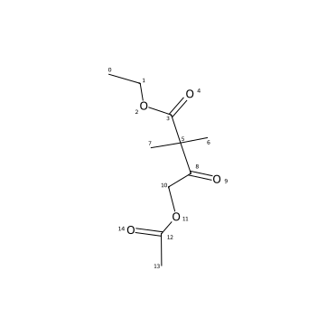 CCOC(=O)C(C)(C)C(=O)COC(C)=O